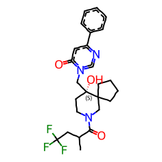 CC(CC(F)(F)F)C(=O)N1CC[C@@](O)(Cn2cnc(-c3ccccc3)cc2=O)C2(CCCC2)C1